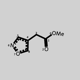 COC(=O)Cc1[c]noc1